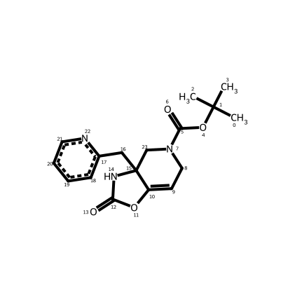 CC(C)(C)OC(=O)N1CC=C2OC(=O)NC2(Cc2ccccn2)C1